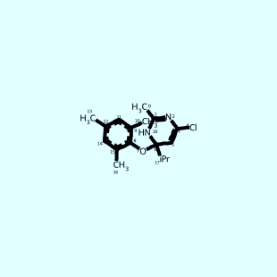 CC1=NC(Cl)=CC(Oc2c(C)cc(C)cc2C)(C(C)C)N1